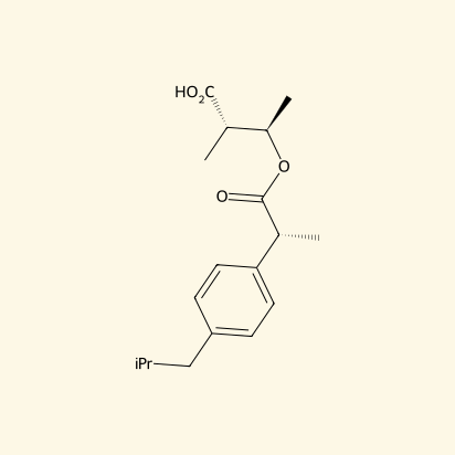 CC(C)Cc1ccc([C@@H](C)C(=O)O[C@H](C)[C@H](C)C(=O)O)cc1